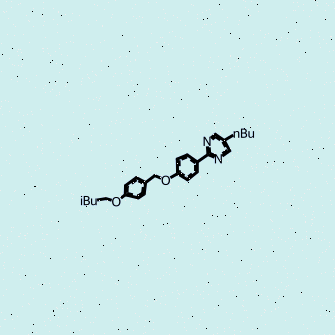 CCCCc1cnc(-c2ccc(OCc3ccc(OCC(C)CC)cc3)cc2)nc1